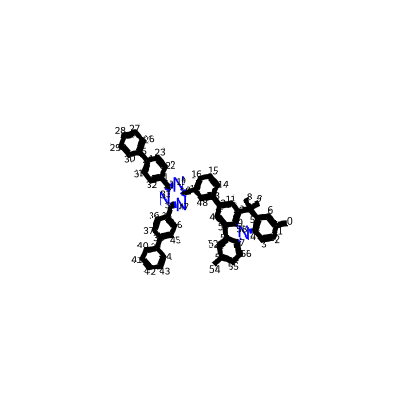 Cc1ccc2c(c1)C(C)(C)c1cc(-c3cccc(-c4nc(-c5ccc(-c6ccccc6)cc5)nc(-c5ccc(-c6ccccc6)cc5)n4)c3)cc3c4cc(C)ccc4n-2c13